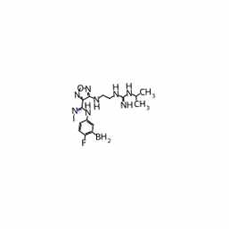 Bc1cc(N/C(=N\I)c2nonc2NCCNC(=N)NC(C)C)ccc1F